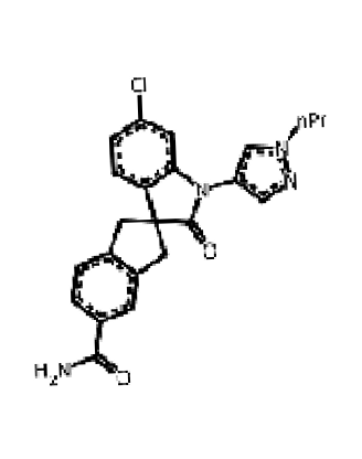 CCCn1cc(N2C(=O)C3(Cc4ccc(C(N)=O)cc4C3)c3ccc(Cl)cc32)cn1